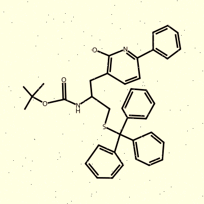 CC(C)(C)OC(=O)NC(CSC(c1ccccc1)(c1ccccc1)c1ccccc1)Cc1ccc(-c2ccccc2)nc1[O]